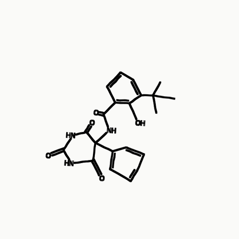 CC(C)(C)c1cccc(C(=O)NC2(c3ccccc3)C(=O)NC(=O)NC2=O)c1O